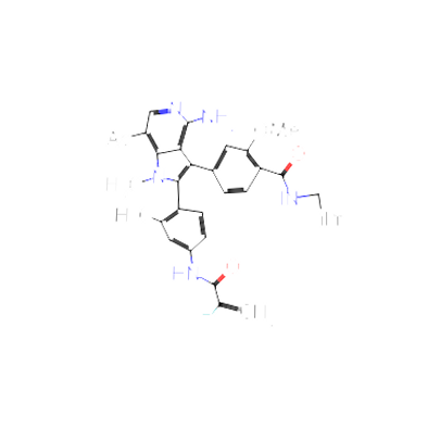 C=C(F)C(=O)Nc1ccc(-c2c(-c3ccc(C(=O)NCC(C)C)c(OC)c3)c3c(N)ncc(C(C)=O)c3n2C)c(C)c1